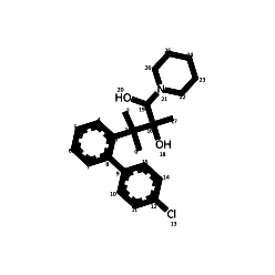 CC(C)(c1ccccc1-c1ccc(Cl)cc1)C(C)(O)C(O)N1CCCCC1